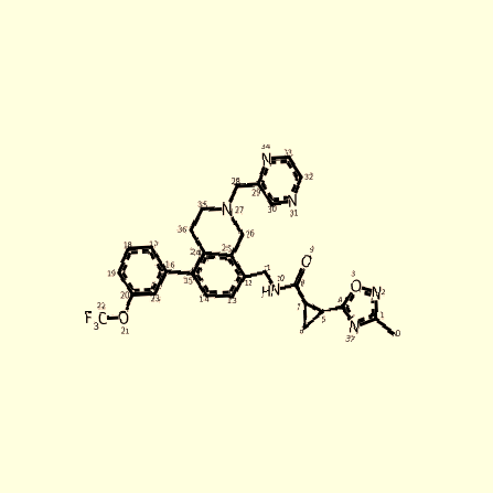 Cc1noc([C@H]2CC2C(=O)NCc2ccc(-c3cccc(OC(F)(F)F)c3)c3c2CN(Cc2cnccn2)CC3)n1